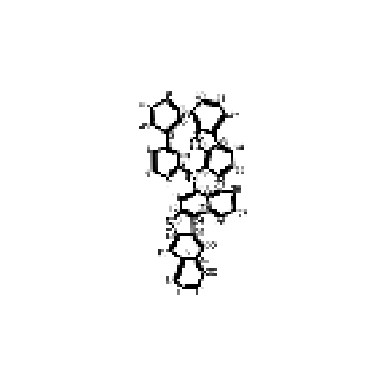 c1ccc(-c2cccc(N(c3cc4sc5cc6ccccc6cc5c4c4ccccc34)c3cccc4c3oc3ccccc34)c2)cc1